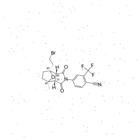 C[C@]12CC[C@](CCBr)(O1)[C@@H]1C(=O)N(c3ccc(C#N)c(C(F)(F)F)c3)C(=O)[C@@H]12